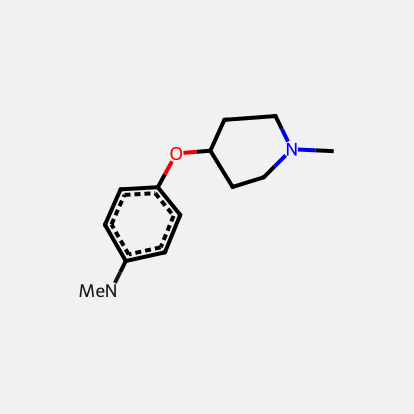 CNc1ccc(OC2CCN(C)CC2)cc1